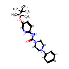 CC(C)(C)[Si](C)(C)Oc1ccc(NC(=O)N2CCN(c3ccccc3)CC2)nc1